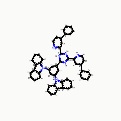 c1ccc(-c2ccnc(-c3nc(-c4cc(-n5c6ccccc6c6ccccc65)cc(-n5c6ccccc6c6ccccc65)c4)nc(-c4cc(-c5ccccc5)ccn4)n3)c2)cc1